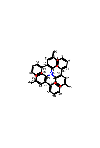 Cc1ccc(N(c2ccc(C)cc2-c2ccccc2)c2ccc(C)cc2-c2ccccc2)c(-c2ccccc2)c1